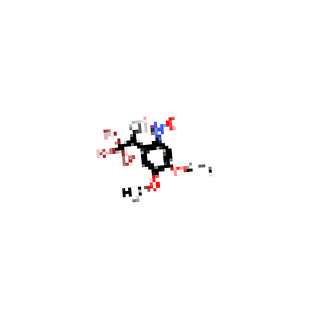 COc1cc(C(C)C(Br)(Br)Br)c([N+](=O)[O-])cc1OC